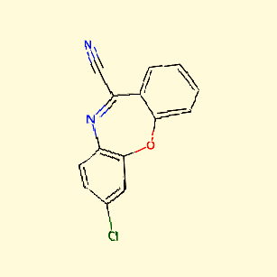 N#CC1=Nc2ccc(Cl)cc2Oc2ccccc21